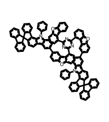 c1ccc(-n2c3ccc(-c4ccc5oc6cccc(-c7nc(-c8cccc9oc%10ccccc%10c89)nc(-c8cccc9oc%10ccc(-c%11ccc%12c(c%11)c%11ccc%13c(c%11n%12-c%11ccccc%11)-c%11ccccc%11C%13%11c%12ccccc%12-c%12ccccc%12%11)cc%10c89)n7)c6c5c4)cc3c3ccc4c(c32)-c2ccccc2C42c3ccccc3-c3ccccc32)cc1